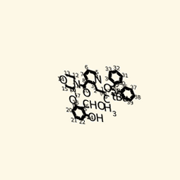 C[C@H](Cc1ncccc1C(=O)N1CCOC[C@H]1COc1cccc(O)c1C=O)O[Si](c1ccccc1)(c1ccccc1)C(C)(C)C